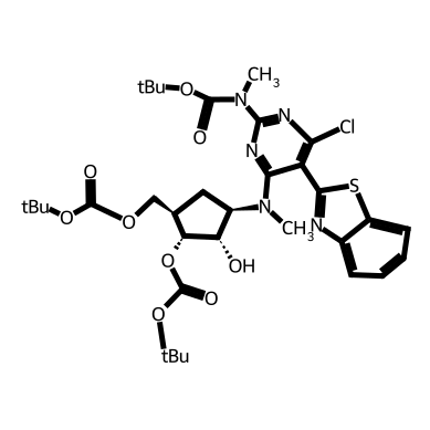 CN(C(=O)OC(C)(C)C)c1nc(Cl)c(-c2nc3ccccc3s2)c(N(C)[C@@H]2C[C@H](COC(=O)OC(C)(C)C)[C@@H](OC(=O)OC(C)(C)C)[C@H]2O)n1